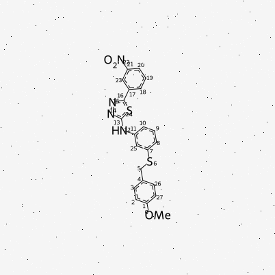 COc1ccc(CSc2cccc(Nc3nnc(-c4cccc([N+](=O)[O-])c4)s3)c2)cc1